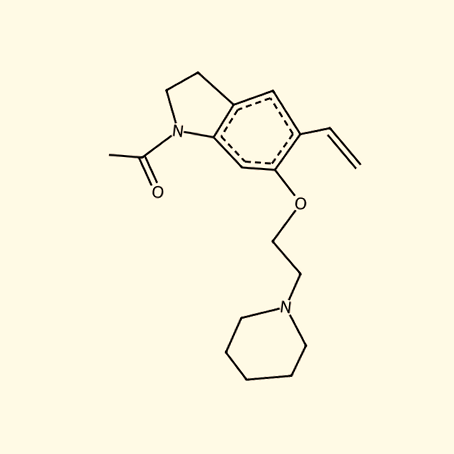 C=Cc1cc2c(cc1OCCN1CCCCC1)N(C(C)=O)CC2